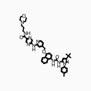 Cc1ccc(-n2nc(C(C)(C)C)cc2NC(=O)Nc2ccc(OCc3ccnc(Nc4cnc(C(=O)NCCCN5CCOCC5)cn4)c3)c3ccccc23)cc1